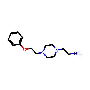 NCCN1CCN(CCOc2ccccc2)CC1